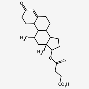 CC1CC2(C)C(OC(=O)CCC(=O)O)CCC2C2CCC3=CC(=O)CCC3C12